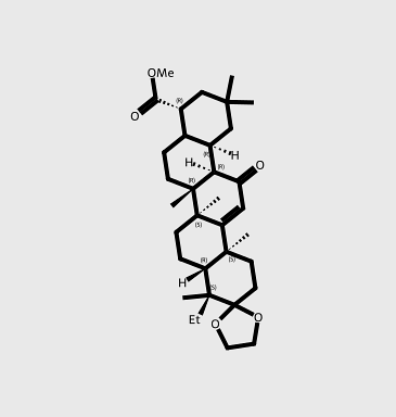 CC[C@@]1(C)[C@@H]2CC[C@]3(C)C(=CC(=O)[C@@H]4[C@@H]5CC(C)(C)C[C@@H](C(=O)OC)C5CC[C@]43C)[C@@]2(C)CCC12OCCO2